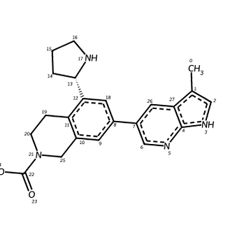 Cc1c[nH]c2ncc(-c3cc4c(c([C@@H]5CCCN5)c3)CCN(C(=O)O)C4)cc12